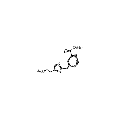 COC(=O)c1cccc(Cc2nc(CCOC(C)=O)cs2)c1